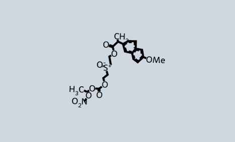 COc1ccc2cc(C(C)C(=O)OCC[S+]([O-])CCOC(=O)OC(C)O[N+](=O)[O-])ccc2c1